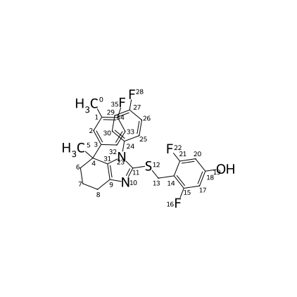 Cc1cc(C2(C)CCCc3nc(SCc4c(F)cc(O)cc4F)n(-c4ccc(F)cc4)c32)ccc1F